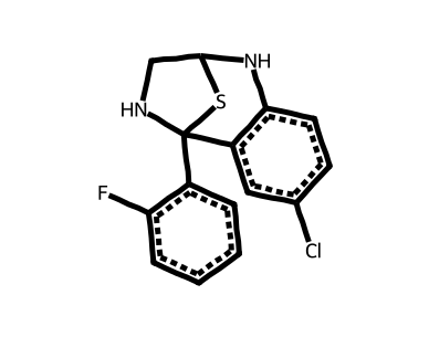 Fc1ccccc1C12NCC(Nc3ccc(Cl)cc31)S2